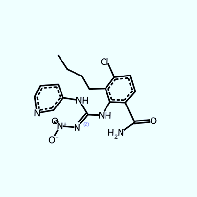 CCCCc1c(Cl)ccc(C(N)=O)c1N/C(=N/[N+](=O)[O-])Nc1cccnc1